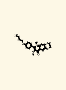 COc1c(-c2ccc(OCCCCl)cc2)n(C)c2cc3c(cc2c1=O)OCCO3